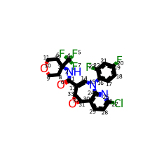 O=C(NC1(C(F)(F)F)CCOCC1)C1=CN(c2ccc(F)cc2F)c2nc(Cl)ccc2C2OC12